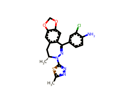 Cc1nnc(N2N=C(c3ccc(N)c(Cl)c3)c3cc4c(cc3C[C@H]2C)OCO4)s1